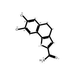 NC(=O)c1cc2c(s1)-c1cc(Cl)c(Cl)cc1CC2